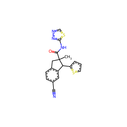 CC1(C(=O)Nc2nncs2)Cc2ccc(C#N)cc2C1c1cccs1